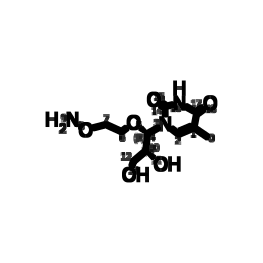 Cc1cn([C@H](OCCON)[C@@H](O)CO)c(=O)[nH]c1=O